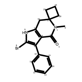 CN1C(=O)c2c([nH]c(Br)c2-c2ccccc2)CC12CCC2